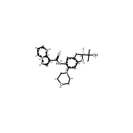 CC(C)(O)[C@]1(C)Cc2cc(NC(=O)c3cnn4cccnc34)c(N3CCOCC3)cc2O1